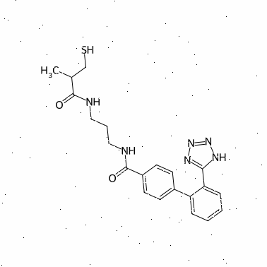 CC(CS)C(=O)NCCCNC(=O)c1ccc(-c2ccccc2-c2nnn[nH]2)cc1